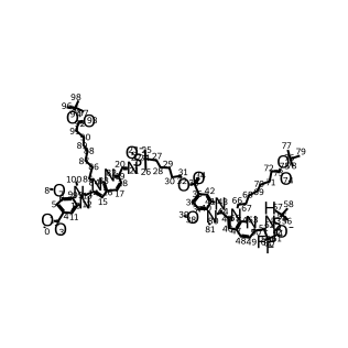 COC(=O)c1cc(OC)c2c(c1)nc(-c1cc3ccc(/C=N/[S+]([O-])C(C)(C)CCCCCOC(=O)c4cc(OC)c5c(c4)nc(-c4cc6ccc(C(N[S+]([O-])C(C)(C)C)C(F)(F)F)nc6n4CCCCCCCC(=O)OC(C)(C)C)n5C)nc3n1CCCCCCCC(=O)OC(C)(C)C)n2C